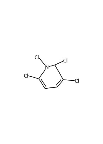 ClC1=CC=C(Cl)N(Cl)C1Cl